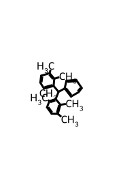 Cc1ccc(C)c(C(c2ccccc2)c2c(C)ccc(C)c2C)c1C